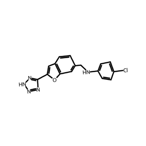 Clc1ccc(NCc2ccc3cc(-c4nn[nH]n4)oc3c2)cc1